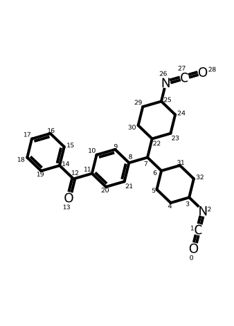 O=C=NC1CCC(C(c2ccc(C(=O)c3ccccc3)cc2)C2CCC(N=C=O)CC2)CC1